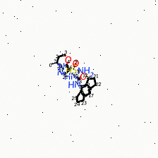 C[C@H]1CCOc2c([SH](N)(=O)NC(=O)Nc3c4c(cc5c3CCC5)CCC4)cnn21